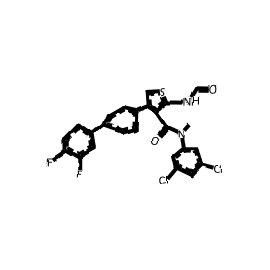 CN(C(=O)c1c(-c2ccc(-c3ccc(F)c(F)c3)cc2)csc1NC=O)c1cc(Cl)cc(Cl)c1